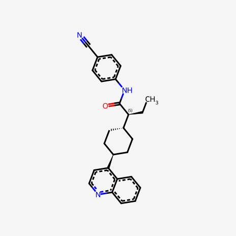 CC[C@H](C(=O)Nc1ccc(C#N)cc1)[C@H]1CC[C@H](c2ccnc3ccccc32)CC1